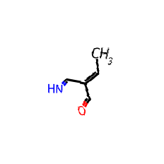 C/C=C(\C=N)C=O